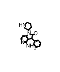 Nc1nccc2c1C(c1ccccc1)C(=O)N2[C@@H]1CCCNC1